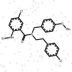 CCNc1ccc(Cl)cc1C(=O)N(CCc1ccc(Cl)cc1)Cc1ccc(OC(C)(C)C)cc1